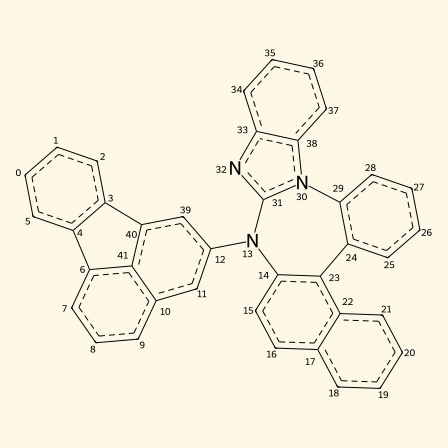 c1ccc2c(c1)-c1cccc3cc(N4c5ccc6ccccc6c5-c5ccccc5-n5c4nc4ccccc45)cc-2c13